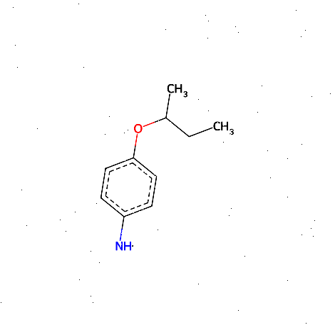 CCC(C)Oc1ccc([NH])cc1